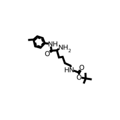 Cc1ccc(NC(=O)C(N)CCCCNC(=O)OC(C)(C)C)cc1